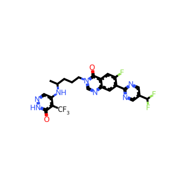 CC(CCCn1cnc2cc(-c3ncc(C(F)F)cn3)c(F)cc2c1=O)Nc1cn[nH]c(=O)c1C(F)(F)F